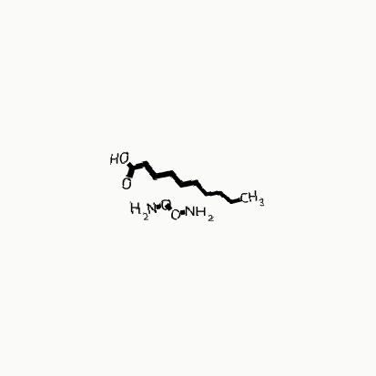 CCCCCCCCCC(=O)O.NOON